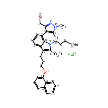 CCOC(=O)c1c(CCCOc2cccc3ccccc23)c2cccc(-c3c(CBr)nn(C)c3CC)c2n1CCCNC.Cl